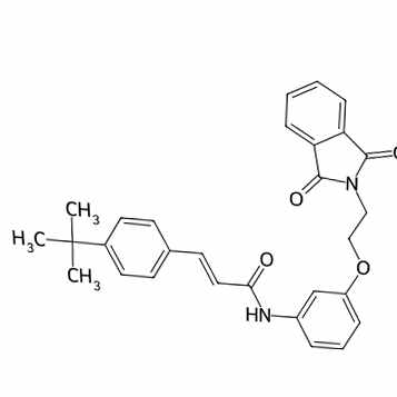 CC(C)(C)c1ccc(C=CC(=O)Nc2cccc(OCCN3C(=O)c4ccccc4C3=O)c2)cc1